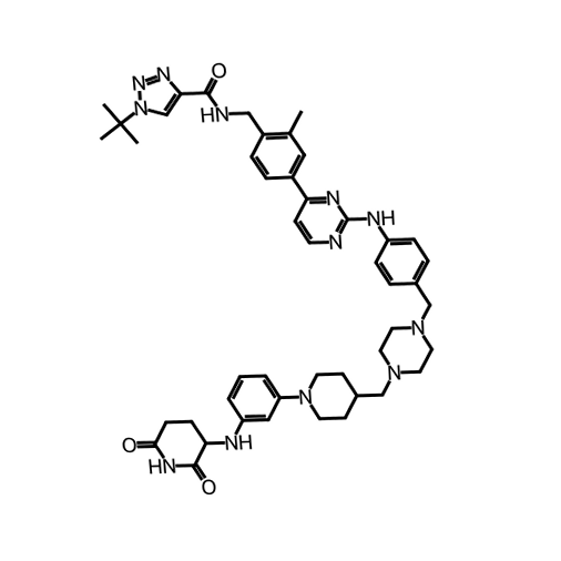 Cc1cc(-c2ccnc(Nc3ccc(CN4CCN(CC5CCN(c6cccc(NC7CCC(=O)NC7=O)c6)CC5)CC4)cc3)n2)ccc1CNC(=O)c1cn(C(C)(C)C)nn1